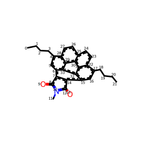 CCCCc1cc2c3c(=O)n(C)c(=O)c3c3cc(CCCC)c4ccc5ccc1c1c5c4c3c21